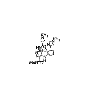 CNC(=O)c1nnc(NC(=O)C2CN(C)C2)cc1Nc1cccc(-c2ncn(C)n2)c1OC